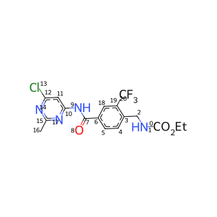 CCOC(=O)NCc1ccc(C(=O)Nc2cc(Cl)nc(C)n2)cc1C(F)(F)F